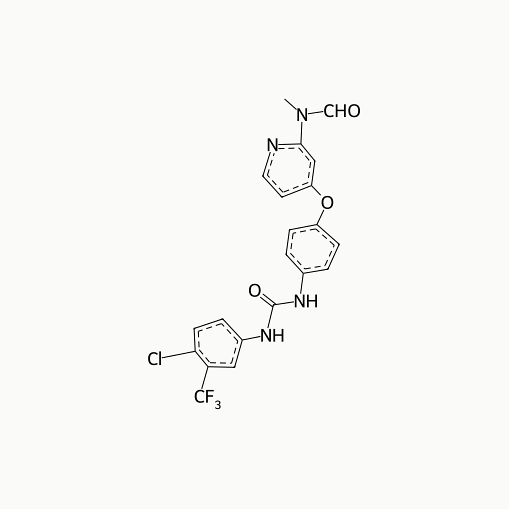 CN(C=O)c1cc(Oc2ccc(NC(=O)Nc3ccc(Cl)c(C(F)(F)F)c3)cc2)ccn1